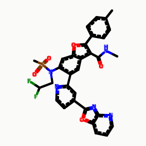 CNC(=O)c1c(-c2ccc(C)cc2)oc2cc(N(CC(F)F)S(C)(=O)=O)c(-c3cc(-c4nc5ncccc5o4)ccn3)cc12